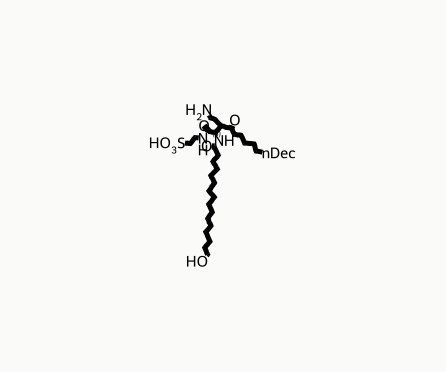 CCCCCCCCCCCCCCCC(=O)C(CCN)[C@H](NC(=O)CCCCCCCCCCCCCCCO)C(=O)NCCS(=O)(=O)O